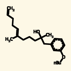 C=CCCC=C(C)CCCC(C)(O)Cc1cccc(OCCCC)c1